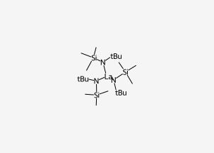 CC(C)(C)[N]([La]([N](C(C)(C)C)[Si](C)(C)C)[N](C(C)(C)C)[Si](C)(C)C)[Si](C)(C)C